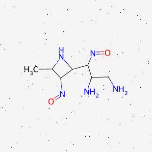 CC1NC(C(N=O)C(N)CN)C1N=O